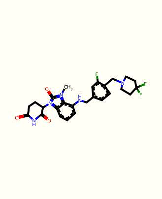 Cn1c(=O)n(C2CCC(=O)NC2=O)c2cccc(NCc3ccc(CN4CCC(F)(F)CC4)c(F)c3)c21